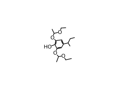 CCOC(C)Oc1cc(C(C)CC)cc(OC(C)OCC)c1O